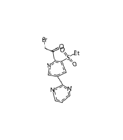 CCS(=O)(=O)c1cc(-c2ncccn2)cnc1C(=O)CBr